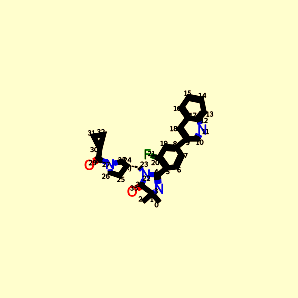 CC1(C)N=C(c2ccc(-c3cnc4ccccc4c3)cc2F)N(C[C@@H]2CCN(C(=O)C3CC3)C2)C1=O